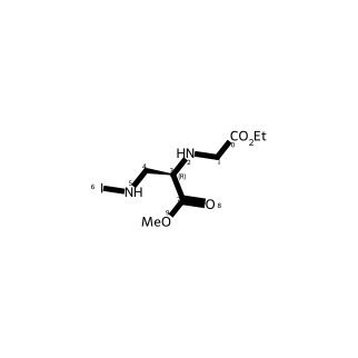 CCOC(=O)CN[C@H](CNI)C(=O)OC